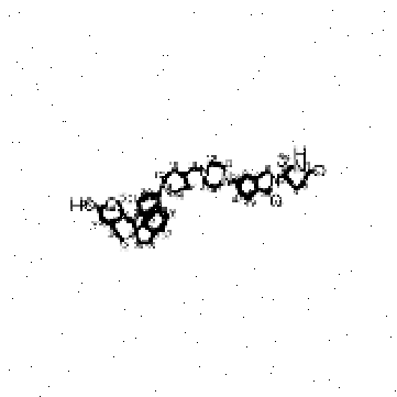 O=C1CC[C@H](N2Cc3cc(N4CCN(CC5CCN(c6ccc([C@@H]7c8ccc(O)cc8CC[C@]78CCc7ccccc78)cc6)CC5)CC4)ccc3C2=O)C(=O)N1